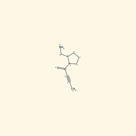 CC#CC(=O)N1CCCC1CN